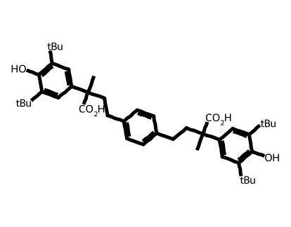 CC(C)(C)c1cc(C(C)(CCc2ccc(CCC(C)(C(=O)O)c3cc(C(C)(C)C)c(O)c(C(C)(C)C)c3)cc2)C(=O)O)cc(C(C)(C)C)c1O